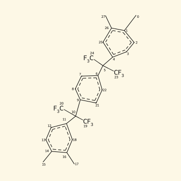 Cc1ccc(C(c2ccc(C(c3ccc(C)c(C)c3)(C(F)(F)F)C(F)(F)F)cc2)(C(F)(F)F)C(F)(F)F)cc1C